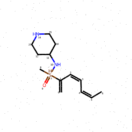 C=C(/C=C\C=C/C)[SH](C)(=O)NC1CCNCC1